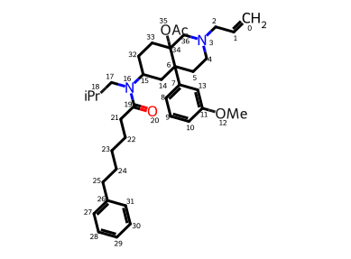 C=CCN1CCC2(c3cccc(OC)c3)CC(N(CC(C)C)C(=O)CCCCCc3ccccc3)CCC2(OC(C)=O)C1